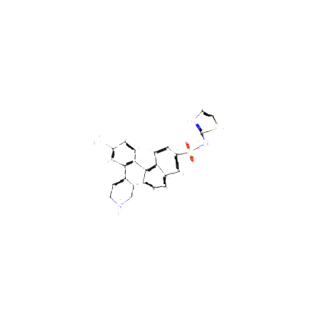 O=S(=O)(Nc1nccs1)c1ccc2c(-c3ccc(C(F)(F)F)cc3C3=CCNCC3)cccc2c1